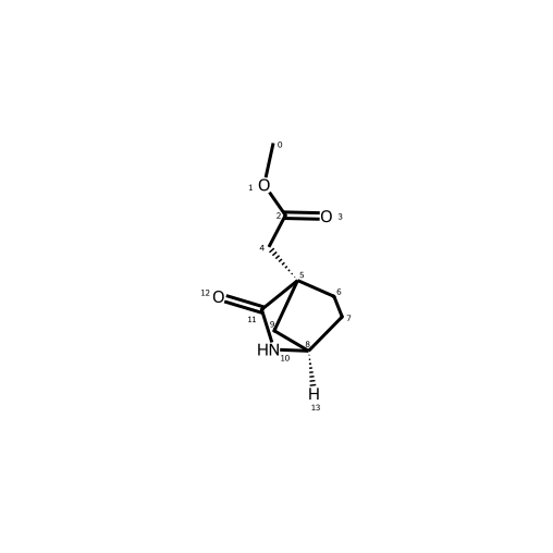 COC(=O)C[C@]12CC[C@H](C1)NC2=O